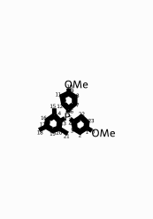 COc1ccc(P(c2ccc(OC)cc2)c2c(C)cc(C)cc2C)cc1